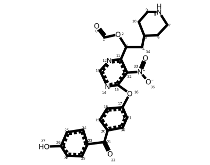 O=COC(CC1CCNCC1)c1ncnc(Oc2ccc(C(=O)c3ccc(O)cc3)cc2)c1[N+](=O)[O-]